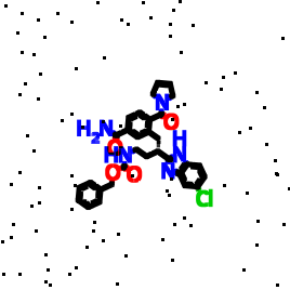 NC(=O)c1ccc(C(=O)N2CC=CC2)c(C[C@@H](CCNC(=O)OCc2ccccc2)c2nc3cc(Cl)ccc3[nH]2)c1